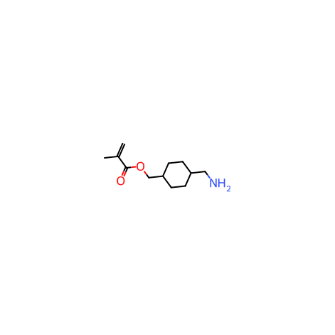 C=C(C)C(=O)OCC1CCC(CN)CC1